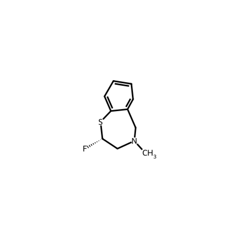 CN1Cc2ccccc2S[C@@H](F)C1